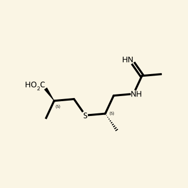 CC(=N)NC[C@H](C)SC[C@@H](C)C(=O)O